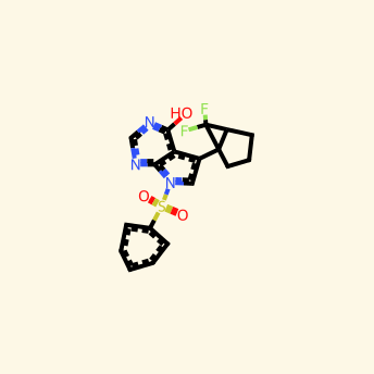 O=S(=O)(c1ccccc1)n1cc(C23CCCC2C3(F)F)c2c(O)ncnc21